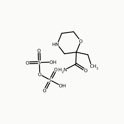 CCC1(C(N)=O)CNCCO1.O=S(=O)(O)OS(=O)(=O)O